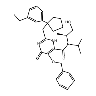 CCc1cccc(C2(Cc3nc(=O)c(OCc4ccccc4)c(C(=O)N(C(C)C)[C@@H](C)CO)[nH]3)CCCC2)c1